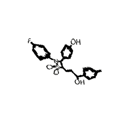 Cc1ccc(C(O)CCC2C(c3ccc(O)cc3)N(c3ccc(F)cc3)S2(=O)=O)cc1